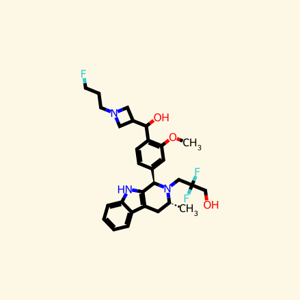 COc1cc([C@@H]2c3[nH]c4ccccc4c3C[C@@H](C)N2CC(F)(F)CO)ccc1C(O)C1CN(CCCF)C1